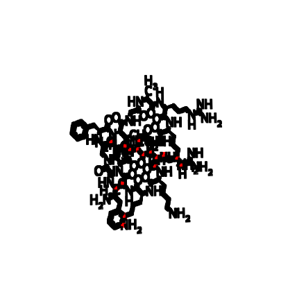 C[C@H](NC(=O)CNC(=O)[C@@H](NC(=O)[C@H](Cc1ccccc1)NC(=O)CNC(=O)CNC(=O)[C@@H](N)Cc1ccccc1)[C@@H](C)O)C(=O)N[C@@H](CCCNC(=N)N)C(=O)N[C@@H](CCCCN)C(=O)N[C@@H](CO)C(=O)N[C@@H](C)C(=O)N[C@@H](CCCNC(=N)N)C(=O)N[C@@H](CCCCN)C(=O)N[C@@H](CCCCN)C(=O)N[C@@H](C)C(=O)N[C@@H](CC(N)=O)C(=O)N[C@@H](CCC(N)=O)C(=O)O